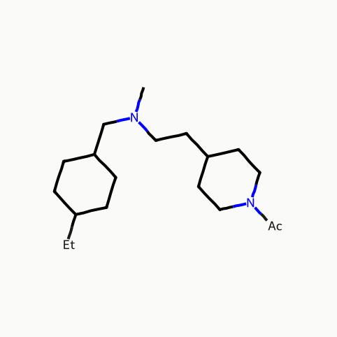 CCC1CCC(CN(C)CCC2CCN(C(C)=O)CC2)CC1